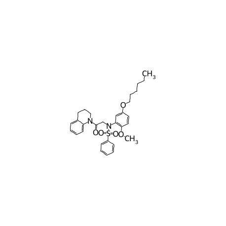 CCCCCCOc1ccc(OC)c(N(CC(=O)N2CCCc3ccccc32)S(=O)(=O)c2ccccc2)c1